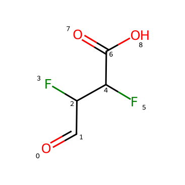 O=CC(F)C(F)C(=O)O